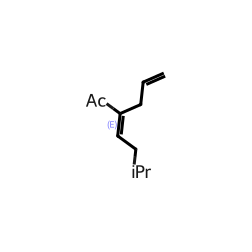 C=CC/C(=C\CC(C)C)C(C)=O